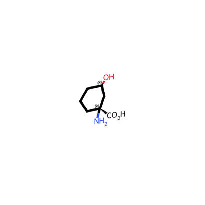 N[C@]1(C(=O)O)CCC[C@@H](O)C1